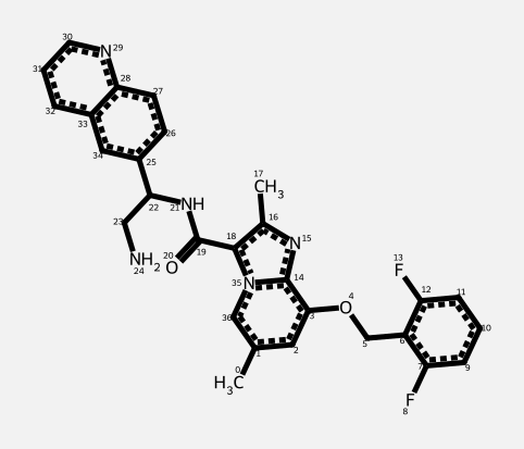 Cc1cc(OCc2c(F)cccc2F)c2nc(C)c(C(=O)NC(CN)c3ccc4ncccc4c3)n2c1